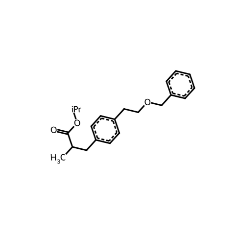 CC(C)OC(=O)C(C)Cc1ccc(CCOCc2ccccc2)cc1